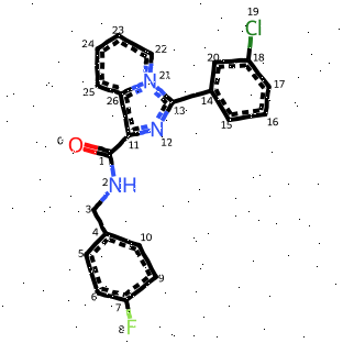 O=C(NCc1ccc(F)cc1)c1nc(-c2cccc(Cl)c2)n2ccccc12